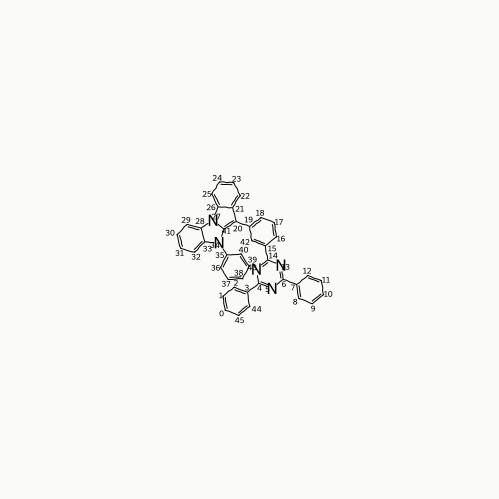 c1ccc(-c2nc(-c3ccccc3)nc(-c3cccc(-c4c5ccccc5n5c6ccccc6n(-c6ccccc6)c45)c3)n2)cc1